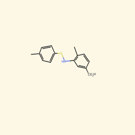 Cc1ccc(SNc2cc(C(=O)O)ccc2C)cc1